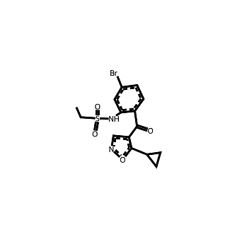 CCS(=O)(=O)Nc1cc(Br)ccc1C(=O)c1cnoc1C1CC1